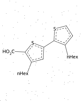 CCCCCCc1cc(-c2sccc2CCCCCC)sc1C(=O)O